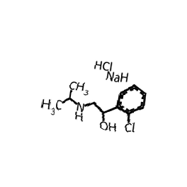 CC(C)NCC(O)c1ccccc1Cl.Cl.[NaH]